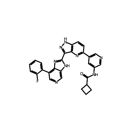 O=C(Nc1cncc(-c2ccc3[nH]nc(-c4nc5c(-c6ccccc6F)cncc5[nH]4)c3n2)c1)C1CCC1